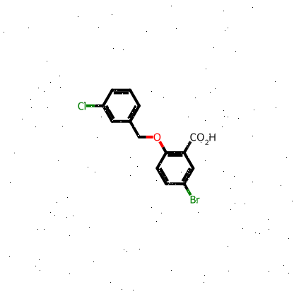 O=C(O)c1cc(Br)ccc1OCc1cccc(Cl)c1